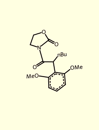 CCCCC(C(=O)N1CCOC1=O)c1c(OC)cccc1OC